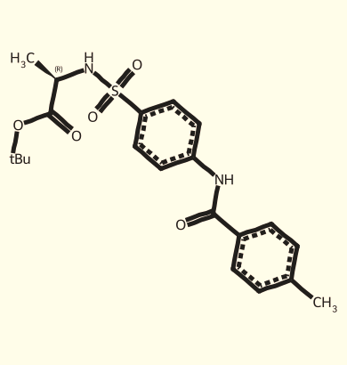 Cc1ccc(C(=O)Nc2ccc(S(=O)(=O)N[C@H](C)C(=O)OC(C)(C)C)cc2)cc1